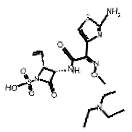 C=C[C@H]1[C@H](NC(=O)/C(=N\OC)c2csc(N)n2)C(=O)N1S(=O)(=O)O.CCN(CC)CC